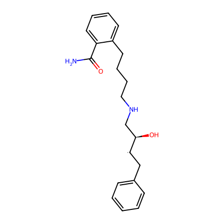 NC(=O)c1ccccc1CCCCNC[C@@H](O)[CH]Cc1ccccc1